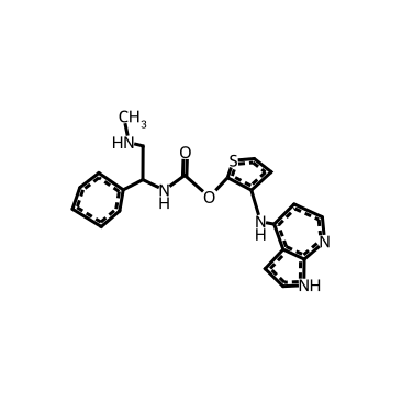 CNCC(NC(=O)Oc1sccc1Nc1ccnc2[nH]ccc12)c1ccccc1